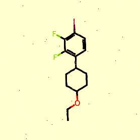 CCOC1CCC(c2ccc(I)c(F)c2F)CC1